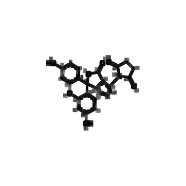 O=C1OC2(c3ccc(O)cc3Oc3cc(O)ccc32)c2cccc(N3C(=O)CCC3=O)c21